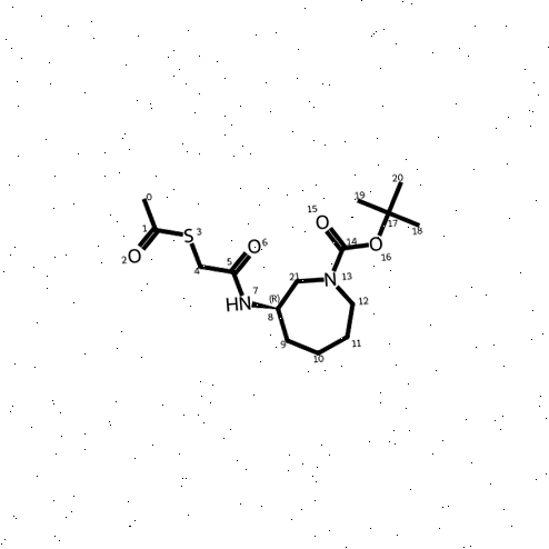 CC(=O)SCC(=O)N[C@@H]1CCCCN(C(=O)OC(C)(C)C)C1